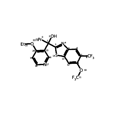 CCCC(O)(c1nc2cc(C(F)(F)F)c(OC(F)(F)F)cc2s1)c1cnccc1OCC